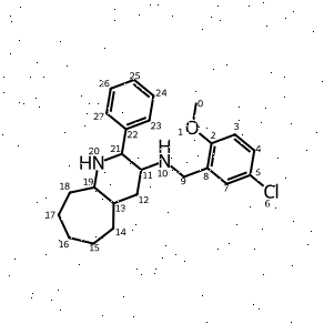 COc1ccc(Cl)cc1CNC1CC2CCCCCC2NC1c1ccccc1